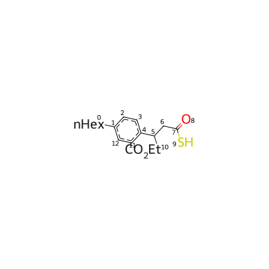 CCCCCCc1ccc(C(CC(=O)S)C(=O)OCC)cc1